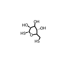 OC1[C@H](O)C(CS)O[C@@H](S)[C@H]1O